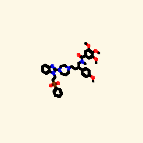 COc1ccc(C(CCN2CCCN(c3nc4ccccc4n3CCS(=O)(=O)c3ccccc3)CC2)CN(C)C(=O)c2cc(OC)c(OC)c(OC)c2)cc1